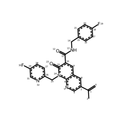 C=C(C)c1cnc2c(c1)cc(C(=O)NCc1ccc(F)cc1)c(=O)n2Cc1ccc(F)cn1